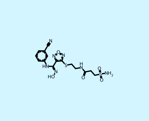 N#Cc1cccc(N/C(=N\O)c2nonc2SCCNC(=O)CCS(N)(=O)=O)c1